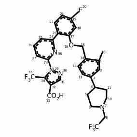 Cc1cc(C2CCN(CC(F)(F)F)CC2)ccc1COc1cc(F)ccc1-c1cccc(-n2ncc(C(=O)O)c2C(F)(F)F)n1